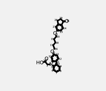 O=C(O)Cn1c2ccccc2c2ccc(OCCCCCOc3ccc4c(c3)CCC4=O)cc21